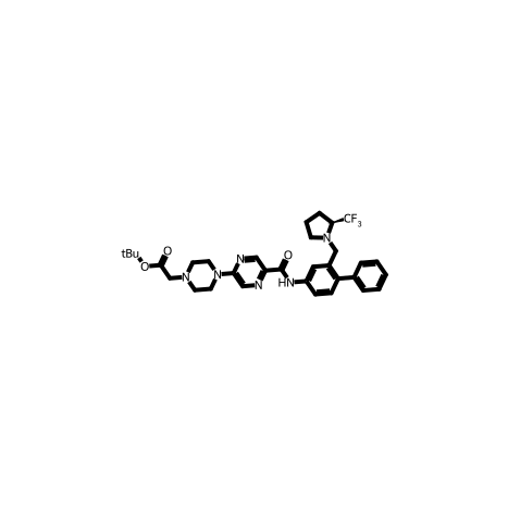 CC(C)(C)OC(=O)CN1CCN(c2cnc(C(=O)Nc3ccc(-c4ccccc4)c(CN4CCC[C@H]4C(F)(F)F)c3)cn2)CC1